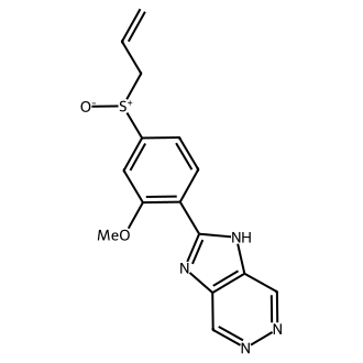 C=CC[S+]([O-])c1ccc(-c2nc3cnncc3[nH]2)c(OC)c1